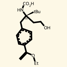 C=C(OCC)c1ccc(C[C@@](CCO)(NC(=O)O)C(C)(C)C)cc1